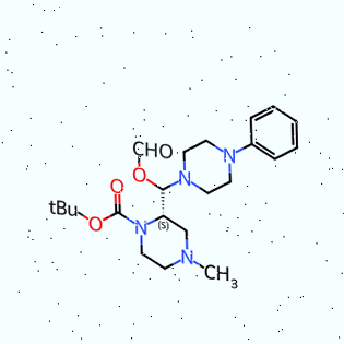 CN1CCN(C(=O)OC(C)(C)C)[C@H](C(OC=O)N2CCN(c3ccccc3)CC2)C1